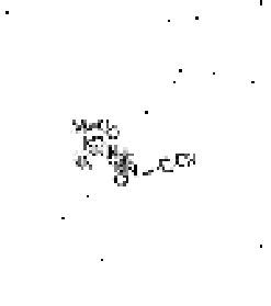 COC(=O)C1=C(CN2CCN3C(=O)N(CC#Cc4ccc(C#N)cc4)C[C@@H]3C2)NC(c2nccs2)=NC1